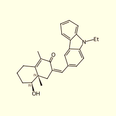 CCn1c2ccccc2c2cc(C=C3C[C@@]4(C)C(=C(C)C3=O)CCC[C@@H]4O)ccc21